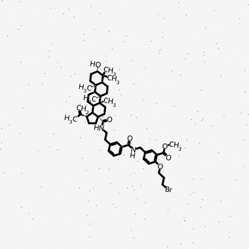 C=C(C)[C@@H]1CC[C@]2(C(=O)NCCc3cccc(C(=O)NCc4ccc(OCCCBr)c(C(=O)OC)c4)c3)CC[C@]3(C)C(CCC4[C@@]5(C)CC[C@H](O)C(C)(C)C5CC[C@]43C)C12